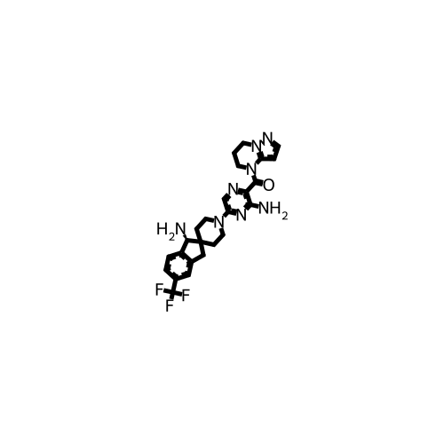 Nc1nc(N2CCC3(CC2)Cc2cc(C(F)(F)F)ccc2[C@H]3N)cnc1C(=O)N1CCCn2nccc21